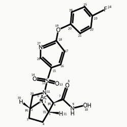 CC(=O)N1[C@@H]2CC[C@H]1[C@H](C(=O)NO)N(S(=O)(=O)c1ccc(Oc3ccc(F)cc3)nc1)C2